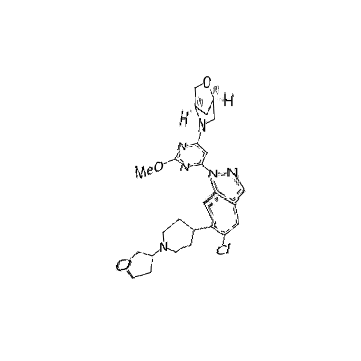 COc1nc(N2C[C@H]3C[C@@H]2CO3)cc(-n2ncc3cc(Cl)c(C4CCN(C5CCOC5)CC4)cc32)n1